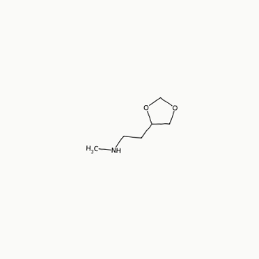 CNCCC1COCO1